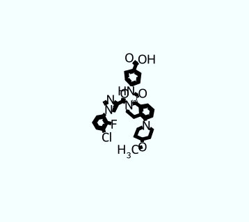 COC1CCN(c2cccc3c2CCN(C(=O)c2cn(-c4cccc(Cl)c4F)cn2)[C@@H]3C(=O)Nc2ccc(C(=O)O)cc2)CC1